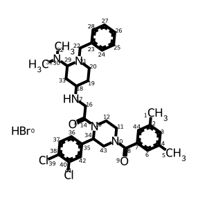 Br.Cc1cc(C)cc(C(=O)N2CCN(C(=O)CNC3CCN(Cc4ccccc4)C(N(C)C)C3)C(c3ccc(Cl)c(Cl)c3)C2)c1